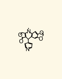 CN1C2=C(C(=O)OC2)C(c2ccncc2)c2cc3c(cc21)OCO3